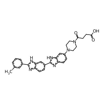 Cc1cccc(-c2nc3ccc(-c4nc5ccc(N6CCN(C(=O)CCC(=O)O)CC6)cc5[nH]4)cc3[nH]2)c1